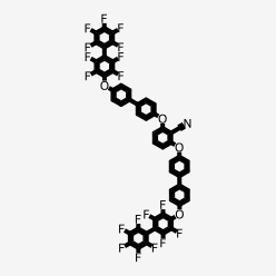 N#Cc1c(Oc2ccc(-c3ccc(Oc4c(F)c(F)c(-c5c(F)c(F)c(F)c(F)c5F)c(F)c4F)cc3)cc2)cccc1Oc1ccc(-c2ccc(Oc3c(F)c(F)c(-c4c(F)c(F)c(F)c(F)c4F)c(F)c3F)cc2)cc1